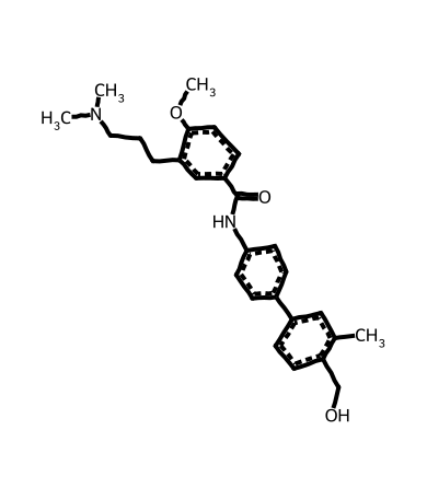 COc1ccc(C(=O)Nc2ccc(-c3ccc(CO)c(C)c3)cc2)cc1CCCN(C)C